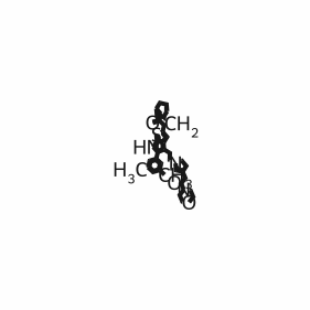 C=C(C(=O)N1C2CCC1CC2)c1cc2c(CCN3CCC(CC(=O)N4CCOCC4)C3)c(-c3cc(C)cc(C)c3)[nH]c2s1